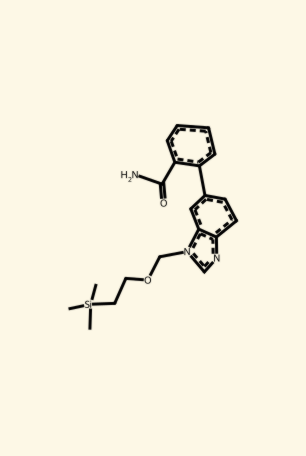 C[Si](C)(C)CCOCn1cnc2ccc(-c3ccccc3C(N)=O)cc21